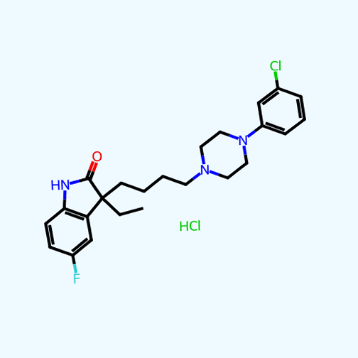 CCC1(CCCCN2CCN(c3cccc(Cl)c3)CC2)C(=O)Nc2ccc(F)cc21.Cl